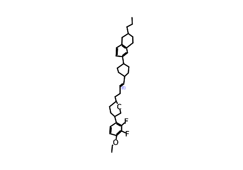 CCCC1CCc2cc(C3CCC(/C=C/CCC4CCC(c5ccc(OCC)c(F)c5F)CC4)CC3)ccc2C1